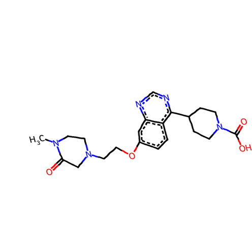 CN1CCN(CCOc2ccc3c(C4CCN(C(=O)O)CC4)ncnc3c2)CC1=O